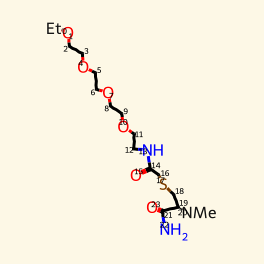 CCOCCOCCOCCOCCNC(=O)CSC[C@H](NC)C(N)=O